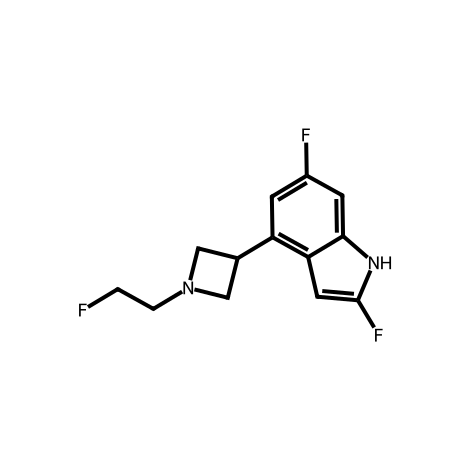 FCCN1CC(c2cc(F)cc3[nH]c(F)cc23)C1